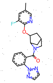 Cc1cnc(OC2CC3CC2N(C(=O)c2ccccc2-n2nccn2)C3)c(F)c1